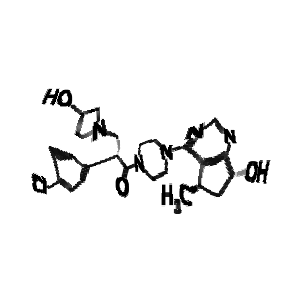 C[C@@H]1C[C@@H](O)c2ncnc(N3CCN(C(=O)[C@@H](CN4CC(O)C4)c4ccc(Cl)cc4)CC3)c21